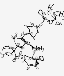 CC(C)(C)OC(=O)N1CCC(c2ccc3c(c2)N(c2cccc(Cl)c2C(N)=O)C(=O)C3(C)C)CC1